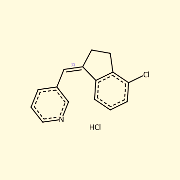 Cl.Clc1cccc2c1CC/C2=C/c1cccnc1